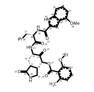 CCOc1nccc(C)c1C(=O)OCC(=O)[C@H](C[C@@H]1CCNC1=O)NC(=O)[C@H](CC(C)C)NC(=O)c1cc2c(OC)cccc2[nH]1